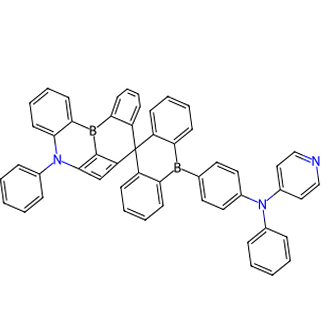 c1ccc(N(c2ccncc2)c2ccc(B3c4ccccc4C4(c5ccccc53)c3ccccc3B3c5ccccc5N(c5ccccc5)c5cccc4c53)cc2)cc1